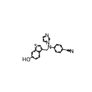 N#Cc1ccc(N(Cc2csc3cc(O)ccc23)n2ccnc2)cc1